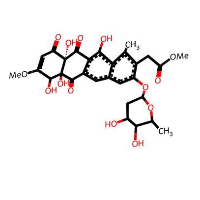 COC(=O)Cc1c(OC2CC(O)C(O)C(C)O2)cc2cc3c(c(O)c2c1C)C(=O)[C@]1(O)C(=O)C=C(OC)C(O)C1(O)C3=O